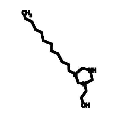 CCCCCCCCCCCCN1CNCN(CCO)C1